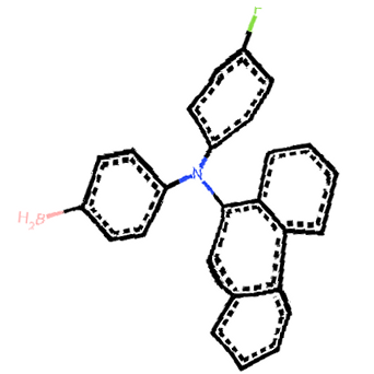 Bc1ccc(N(c2ccc(F)cc2)c2cc3ccccc3c3ccccc23)cc1